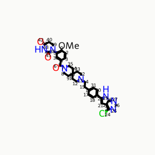 COc1ccc(C(=O)N2CCC3(CCN(CCc4ccc(-c5cc6c(Cl)ncnc6[nH]5)cc4)CC3)CC2)cc1N1CCC(=O)NC1=O